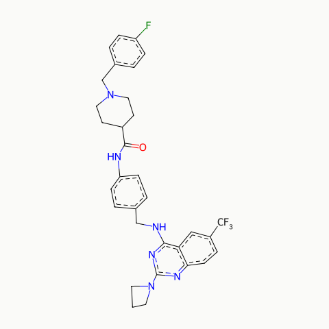 O=C(Nc1ccc(CNc2nc(N3CCC3)nc3ccc(C(F)(F)F)cc23)cc1)C1CCN(Cc2ccc(F)cc2)CC1